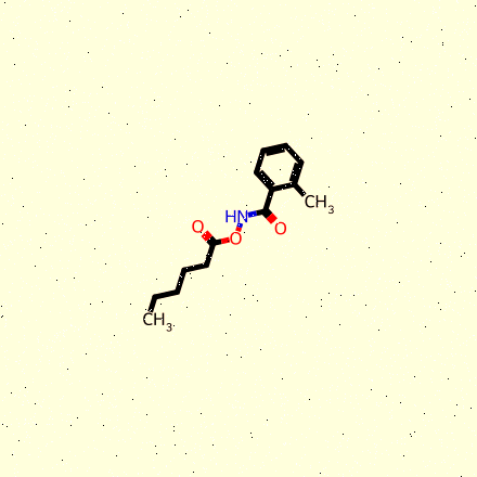 CCCCCC(=O)ONC(=O)c1ccccc1C